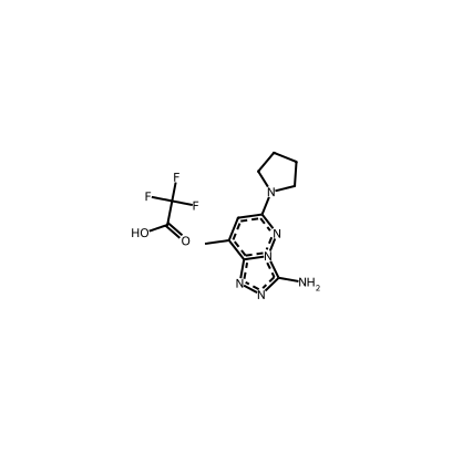 Cc1cc(N2CCCC2)nn2c(N)nnc12.O=C(O)C(F)(F)F